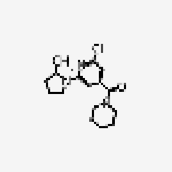 CC1CCCN1c1cc(C(=O)N2CCCCC2)cc(Cl)n1